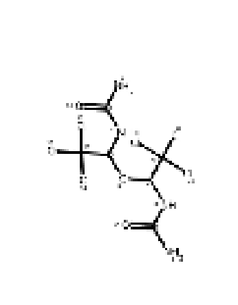 NC(=O)NC(OC(NC(N)=O)C(Cl)(Cl)Cl)C(Cl)(Cl)Cl